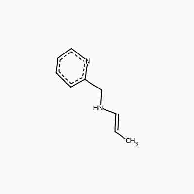 CC=CNCc1ccccn1